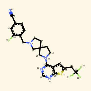 N#Cc1ccc(CN2CCC3(CCN(c4ncnc5sc(CC(F)(F)F)cc45)C3)C2)c(F)c1